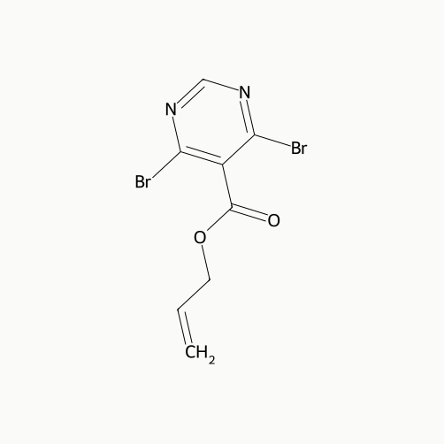 C=CCOC(=O)c1c(Br)ncnc1Br